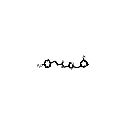 CC(=O)c1cccc(Cc2nc(NC(=O)C=Cc3ccc(C(F)(F)F)cc3)co2)c1